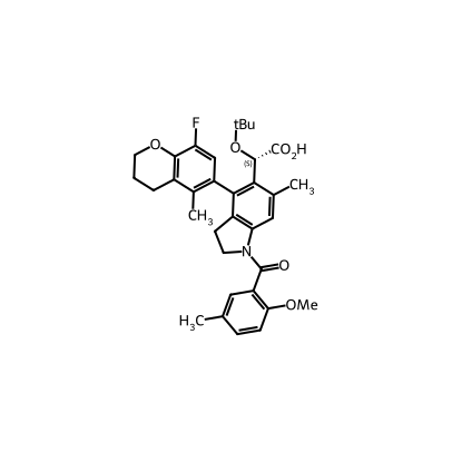 COc1ccc(C)cc1C(=O)N1CCc2c1cc(C)c([C@H](OC(C)(C)C)C(=O)O)c2-c1cc(F)c2c(c1C)CCCO2